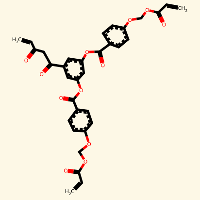 C=CC(=O)CC(=O)c1cc(OC(=O)c2ccc(OCOC(=O)C=C)cc2)cc(OC(=O)c2ccc(OCOC(=O)C=C)cc2)c1